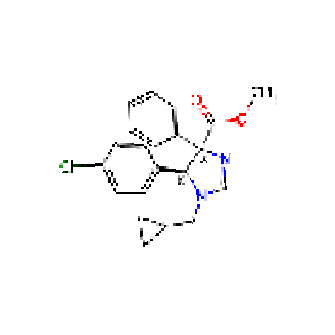 COC(=O)[C@]1(c2ccccc2)N=CN(CC2CC2)[C@H]1c1ccc(Cl)cc1